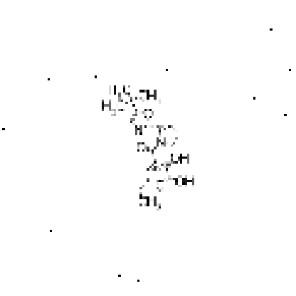 CCCC[C@@H](C(=O)N1CCC[C@H]1c1ncc(C(C)(C)C)o1)[C@H](O)C(=O)O